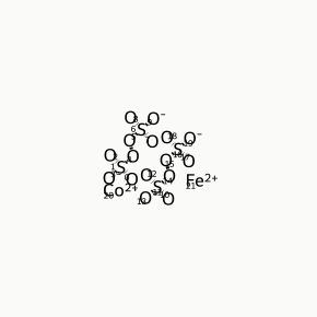 O=S(=O)([O-])OOS(=O)(=O)[O-].O=S(=O)([O-])OOS(=O)(=O)[O-].[Co+2].[Fe+2]